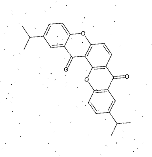 CC(C)c1ccc2oc3c(ccc4oc5ccc(C(C)C)cc5c(=O)c43)c(=O)c2c1